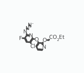 CCOC(=O)COc1ncccc1Oc1nc(N=[N+]=[N-])c(F)cc1Cl